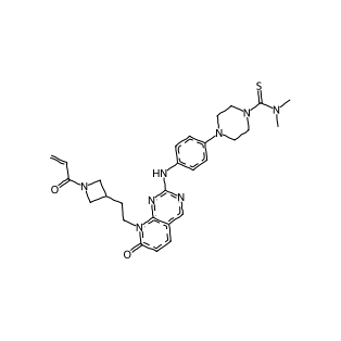 C=CC(=O)N1CC(CCn2c(=O)ccc3cnc(Nc4ccc(N5CCN(C(=S)N(C)C)CC5)cc4)nc32)C1